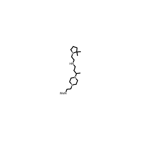 CNCCN1CCN(C(C)CCNCCN2CCCC2(C)C)CC1